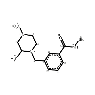 CC1CN(C(=O)O)CCN1Cc1cccc(C(=O)NC(C)(C)C)c1